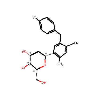 CCc1ccc(Cc2cc([C@H]3C[C@@H](O)[C@H](O)[C@@H](CO)O3)c(C)cc2C#N)cc1